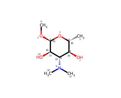 CO[C@H]1O[C@H](C)[C@@H](O)[C@H](N(C)C)[C@H]1O